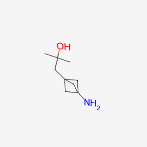 CC(C)(O)CC12CC(N)(C1)C2